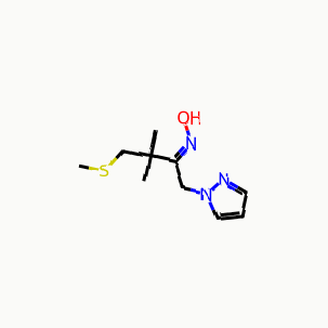 CSCC(C)(C)C(Cn1cccn1)=NO